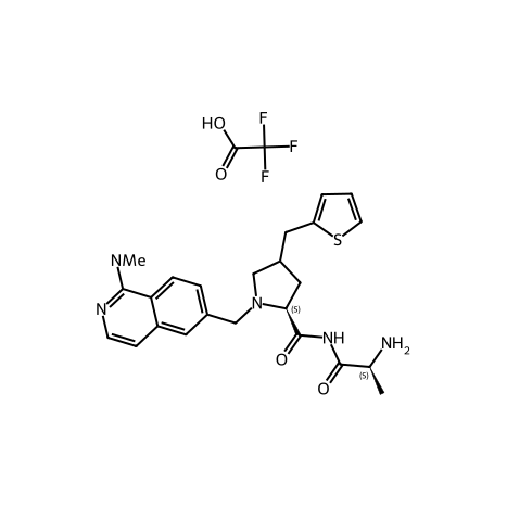 CNc1nccc2cc(CN3CC(Cc4cccs4)C[C@H]3C(=O)NC(=O)[C@H](C)N)ccc12.O=C(O)C(F)(F)F